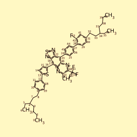 CCCCC(CC)CCc1ccc(-c2ccc(-c3c4nsnc4c(-c4ccc(-c5ccc(CCC(CC)CCCC)cc5F)cc4)c4nc(C(F)(F)F)c(C)nc34)s2)cc1